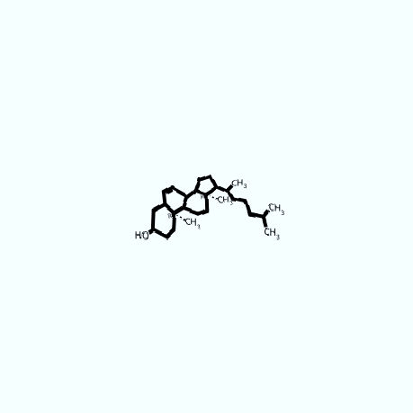 CC(C)CCCC(C)C1CCC2C3C=CC4CC(O)CC[C@]4(C)C3CC[C@]12C